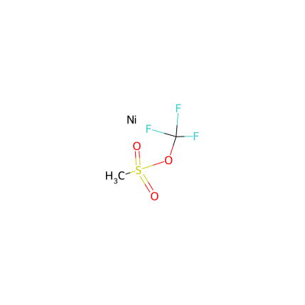 CS(=O)(=O)OC(F)(F)F.[Ni]